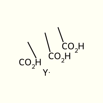 CC(=O)O.CC(=O)O.CC(=O)O.[Y]